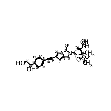 C[C@@](CCN1Cc2cc(C#Cc3ccc([C@@H](O)CO)cc3)cn2C1=O)(C(=O)NO)S(C)(=O)=O